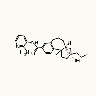 CCC[C@@]1(O)CCC2(C)c3ccc(C(=O)Nc4cccnc4N)cc3CCC[C@H]2C1